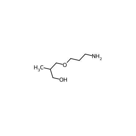 CC(CO)COCCCN